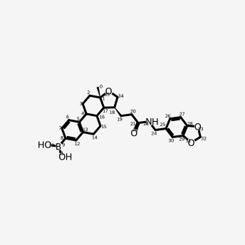 C[C@]12CCC3c4ccc(B(O)O)cc4CCC3C1[C@H](CCC(=O)NCc1ccc3c(c1)OCO3)CO2